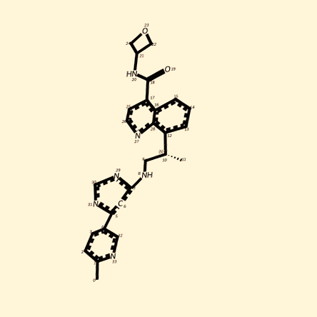 Cc1ccc(-c2cc(NC[C@@H](C)c3cccc4c(C(=O)NC5COC5)ccnc34)ncn2)cn1